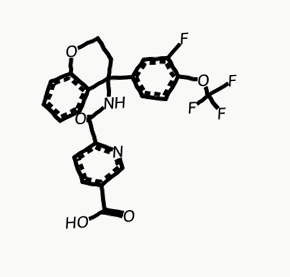 O=C(O)c1ccc(C(=O)NC2(c3ccc(OC(F)(F)F)c(F)c3)CCOc3ccccc32)nc1